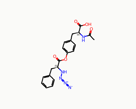 CC(=O)N[C@@H](Cc1ccc(OC(=O)[C@H](Cc2ccccc2)NN=[N+]=[N-])cc1)C(=O)O